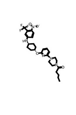 CCCCC(=O)N1CCN(c2cccc(O[C@H]3CC[C@H](Nc4ccc([N+](=O)[O-])c(C(F)(F)F)c4)CC3)n2)CC1